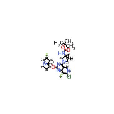 CC(C)(C)OC(=O)N[C@]12C[C@H]1CN(c1nc(OC[C@@]34CCCN3C[C@H](F)C4)nc3c(F)c(Cl)ncc13)C2